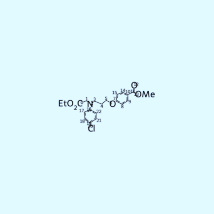 CCOC(=O)CN(CCCOc1ccc(C(=O)OC)cc1)c1ccc(Cl)cc1